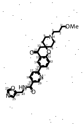 COCCCN1CCC2(CC1)CC(=O)c1cc(-c3ccc(C(=O)NCc4cnco4)cn3)ccc1O2